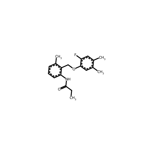 CCC(=O)Nc1cccc(C)c1COc1cc(C)c(C)cc1F